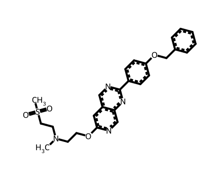 CN(CCOc1cc2cnc(-c3ccc(OCc4ccccc4)cc3)nc2cn1)CCS(C)(=O)=O